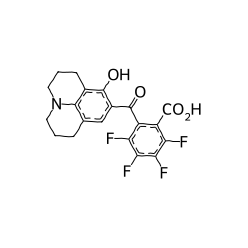 O=C(O)c1c(F)c(F)c(F)c(F)c1C(=O)c1cc2c3c(c1O)CCCN3CCC2